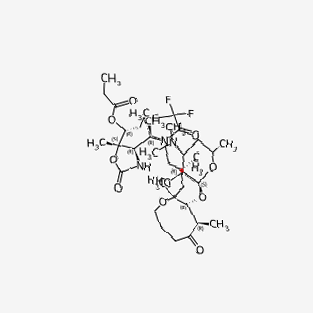 CCC(=O)O[C@H](CC)[C@@]1(C)OC(=O)N[C@@H]1[C@@H](C)N(C[C@H](C)CC1(C)OCCCC(=O)[C@H](C)[C@H]1O[C@@H]1OC(C)CC(N(C)C)C1O)C(=O)C(F)(F)F